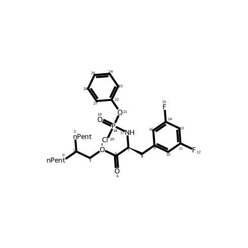 CCCCCC(CCCCC)COC(=O)[C@H](Cc1cc(F)cc(F)c1)NP(=O)(Cl)Oc1ccccc1